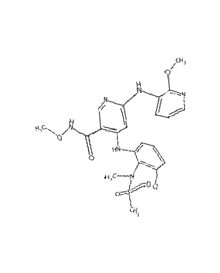 CONC(=O)c1cnc(Nc2cccnc2OC)cc1Nc1cccc(Cl)c1N(C)S(C)(=O)=O